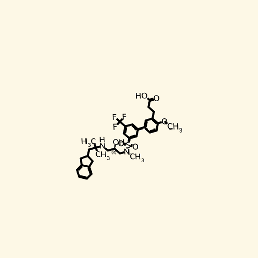 COc1ccc(-c2cc(C(F)(F)F)cc(S(=O)(=O)N(C)C[C@H](O)CNC(C)(C)CC3Cc4ccccc4C3)c2)cc1CCC(=O)O